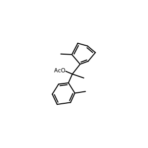 CC(=O)OC(C)(c1ccccc1C)c1ccccc1C